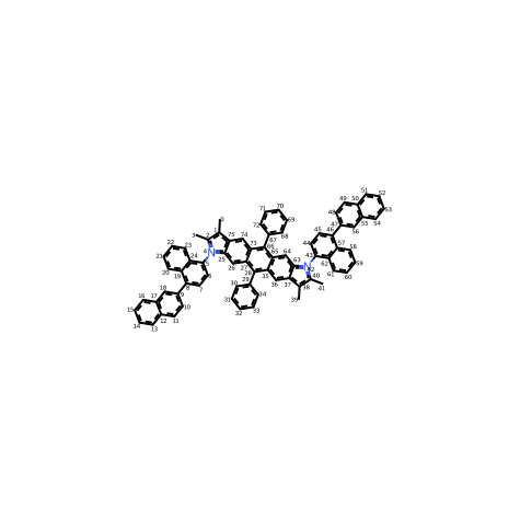 Cc1c(C)n(-c2ccc(-c3ccc4ccccc4c3)c3ccccc23)c2cc3c(-c4ccccc4)c4cc5c(C)c(C)n(-c6ccc(-c7ccc8ccccc8c7)c7ccccc67)c5cc4c(-c4ccccc4)c3cc12